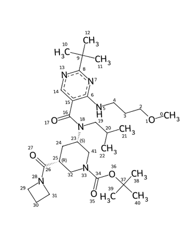 COCCCNc1nc(C(C)(C)C)ncc1C(=O)N(CC(C)C)[C@H]1C[C@@H](C(=O)N2CCC2)CN(C(=O)OC(C)(C)C)C1